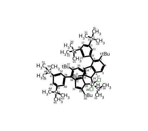 CCCCC1=Cc2c(ccc(C(C)(C)C)c2-c2cc([Si](C)(C)C)cc([Si](C)(C)C)c2)[CH]1[Zr]([Cl])([Cl])([CH]1C(CCCC)=Cc2c1ccc(C(C)(C)C)c2-c1cc([Si](C)(C)C)cc([Si](C)(C)C)c1)[SiH](C)C